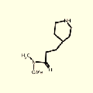 CON(C)C(=O)CCC1CCNCC1